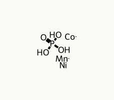 O=P(O)(O)O.[Co].[Mn].[Ni]